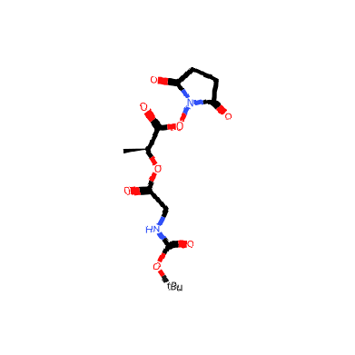 C[C@H](OC(=O)CNC(=O)OC(C)(C)C)C(=O)ON1C(=O)CCC1=O